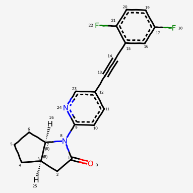 O=C1C[C@H]2CCC[C@H]2N1c1ccc(C#Cc2cc(F)ccc2F)cn1